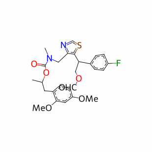 COc1ccc(CC(C)OC(=O)N(C)Cc2ncsc2C(COC=O)c2ccc(F)cc2)c(OC)c1